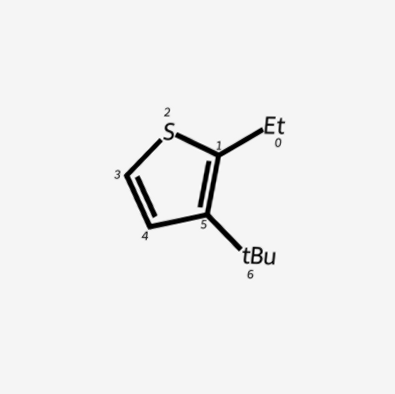 CCc1sccc1C(C)(C)C